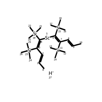 CC=CC(=[C]([Sc][C](=C(C=CC)[Si](C)(C)C)[Si](C)(C)C)[Si](C)(C)C)[Si](C)(C)C.[H-]